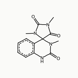 CN1C(=O)N(C)C2(C1=O)c1ccccc1NC(=O)N2C